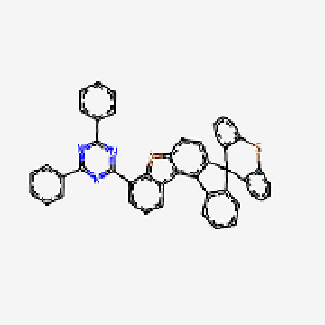 c1ccc(-c2nc(-c3ccccc3)nc(-c3cccc4c3sc3ccc5c(c34)-c3ccccc3C53c4ccccc4Sc4ccccc43)n2)cc1